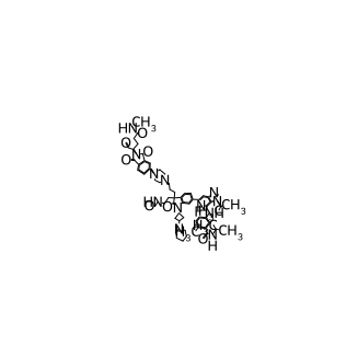 CNC(=O)CCC(C=O)N1C(=O)c2ccc(N3CCN(CCCC4(CCNC=O)C(=O)N(C5CC(N6CCCCC6)C5)c5cc(-c6cc7ncn(C(C)C)c7c(Nc7cc(C(=O)NC(C)C)c(C)cc7F)n6)ccc54)CC3)cc2C1=O